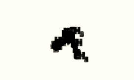 COCCCNc1cc(NCc2ccccc2)c2nnc(C)n2n1